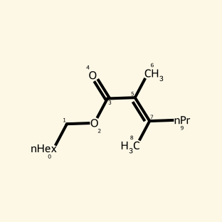 CCCCCCCOC(=O)C(C)=C(C)CCC